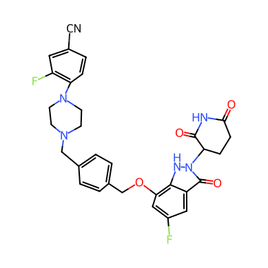 N#Cc1ccc(N2CCN(Cc3ccc(COc4cc(F)cc5c(=O)n(C6CCC(=O)NC6=O)[nH]c45)cc3)CC2)c(F)c1